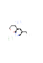 CCc1cnc2c(c1)[C@@H](N)CCO2.Cl.Cl